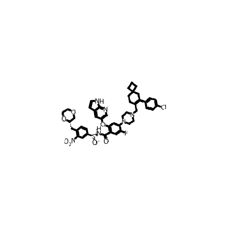 O=C(N[S+]([O-])c1ccc(C[C@H]2COCCO2)c([N+](=O)[O-])c1)c1cc(F)c(N2CCN(CC3=C(c4ccc(Cl)cc4)CC4(CCC4)CC3)CC2)cc1Oc1cnc2[nH]ccc2c1